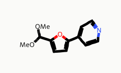 COC(OC)c1ccc(-c2ccncc2)o1